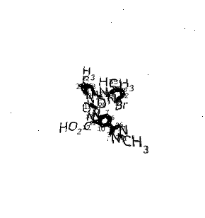 Cc1ncc(-c2ccc3c(c2)c(C(=O)O)nn3CC(=O)N2C3C[C@]3(C)C[C@H]2C(=O)Nc2nc(Br)ccc2C)cn1